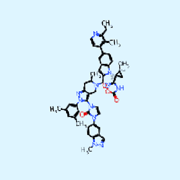 CCc1nccc(-c2ccc3c(c2)cc(C(=O)N2Cc4c(nn(-c5cc(C)cc(C)c5)c4-n4ccn(-c5ccc6c(cnn6C)c5)c4=O)CC2C)n3[C@@]2(c3noc(=O)[nH]3)C[C@@H]2C)c1C